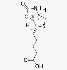 O=C(O)CCC/C=C1\SC[C@@H]2NC(=O)O[C@H]12